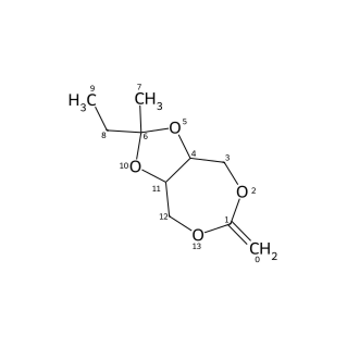 C=C1OCC2OC(C)(CC)OC2CO1